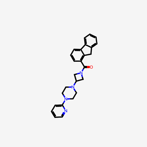 O=C(c1cccc2c1Cc1ccccc1-2)N1CC(N2CCN(c3ccccn3)CC2)C1